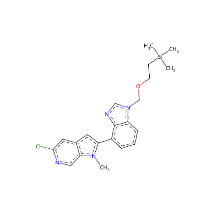 Cn1c(-c2cccc3c2ncn3COCC[Si](C)(C)C)cc2cc(Cl)ncc21